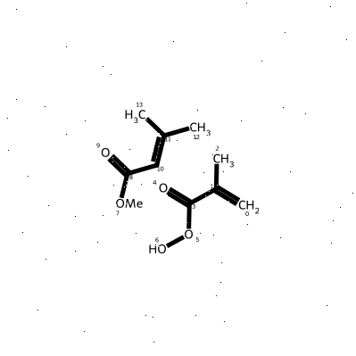 C=C(C)C(=O)OO.COC(=O)C=C(C)C